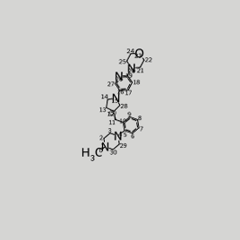 CN1CCN(c2ccccc2C[C@H]2CCN(c3ccc(N4CCOCC4)nc3)C2)CC1